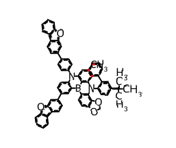 Cc1cc2c3c(c1)N(c1ccc(C(C)(C)C)cc1-c1ccccc1)c1c(ccc4c1OCO4)B3c1cc(-c3ccc4c(c3)oc3ccccc34)ccc1N2c1ccc(-c2ccc3c(c2)oc2ccccc23)cc1